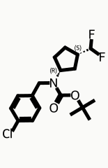 CC(C)(C)OC(=O)N(Cc1ccc(Cl)cc1)[C@@H]1CC[C@H](C(F)F)C1